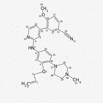 C=CCOc1cc(Nc2cc(-c3cc(C#N)ccc3OC)ccn2)ccc1N1CCN(C)CC1